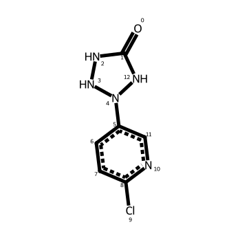 O=C1NNN(c2ccc(Cl)nc2)N1